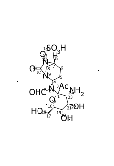 CC(=O)C1(N(C=O)[C@@H]2CC[C@@H]3CN2C(=O)N3OS(=O)(=O)O)O[C@H](CO)[C@@H](O)[C@H](O)[C@H]1N